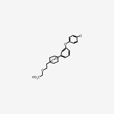 O=C(O)COCCC12CCC(c3cccc(Oc4ccc(Cl)cc4)c3)(CC1)OC2